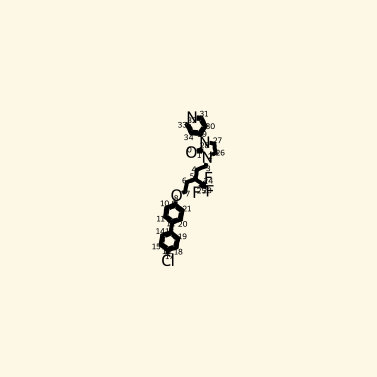 O=C1N(CCC(CCOc2ccc(-c3ccc(Cl)cc3)cc2)C(F)(F)F)CCN1c1ccncc1